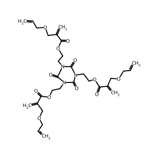 C=CCOCC(=C)C(=O)OCCn1c(=O)n(CCOC(=O)C(=C)COCC=C)c(=O)n(CCOC(=O)C(=C)COCC=C)c1=O